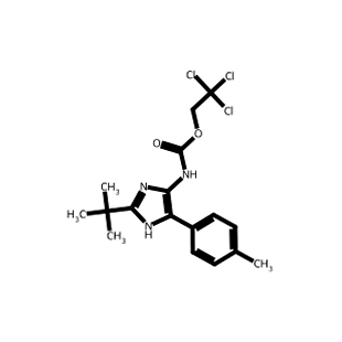 Cc1ccc(-c2[nH]c(C(C)(C)C)nc2NC(=O)OCC(Cl)(Cl)Cl)cc1